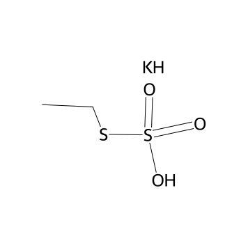 CCSS(=O)(=O)O.[KH]